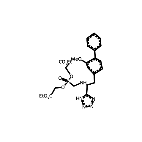 CCOC(=O)COP(=O)(CNC(Cc1ccc(-c2ccccc2)c(OC)c1)c1nnn[nH]1)OCC(=O)OCC